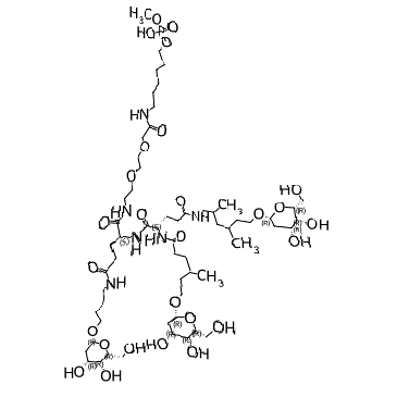 COP(=O)(O)OCCCCCCNC(=O)COCCOCCNC(=O)[C@H](CCC(=O)NCCCCO[C@H]1C[C@@H](O)[C@@H](O)[C@@H](CO)O1)NC(=O)[C@H](CCC(=O)NCC(C)CC(C)CCO[C@H]1C[C@@H](O)[C@@H](O)[C@@H](CO)O1)NC(=O)CCC(C)CCO[C@H]1C[C@@H](O)[C@@H](O)[C@@H](CO)O1